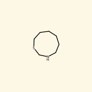 C1CCCSCNCC1